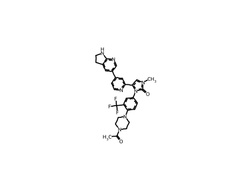 CC(=O)N1CCN(c2ccc(-n3c(-c4cc(-c5cnc6c(c5)CCN6)ccn4)cn(C)c3=O)cc2C(F)(F)F)CC1